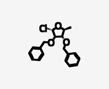 C[C@@H]1O[C@@H](Cl)[C@H](OCc2ccccc2)[C@H]1OCc1ccccc1